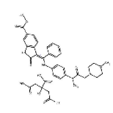 COC(=O)c1ccc2c(c1)NC(=O)/C2=C(\Nc1ccc(N(C)C(=O)CN2CCN(C)CC2)cc1)c1ccccc1.O=C(O)CC(O)(CC(=O)O)C(=O)O